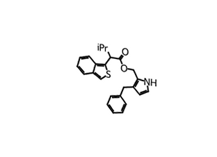 CC(C)C(C(=O)OCc1[nH]ccc1Cc1ccccc1)c1scc2ccccc12